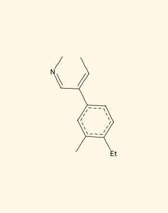 C/C=C(\C=N/C)c1ccc(CC)c(C)c1